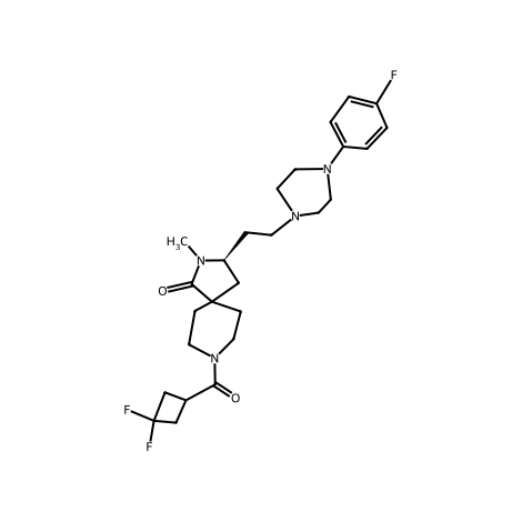 CN1C(=O)C2(CCN(C(=O)C3CC(F)(F)C3)CC2)C[C@@H]1CCN1CCN(c2ccc(F)cc2)CC1